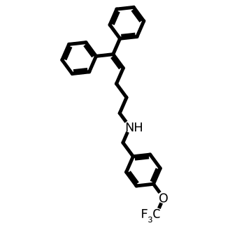 FC(F)(F)Oc1ccc(CNCCCC=C(c2ccccc2)c2ccccc2)cc1